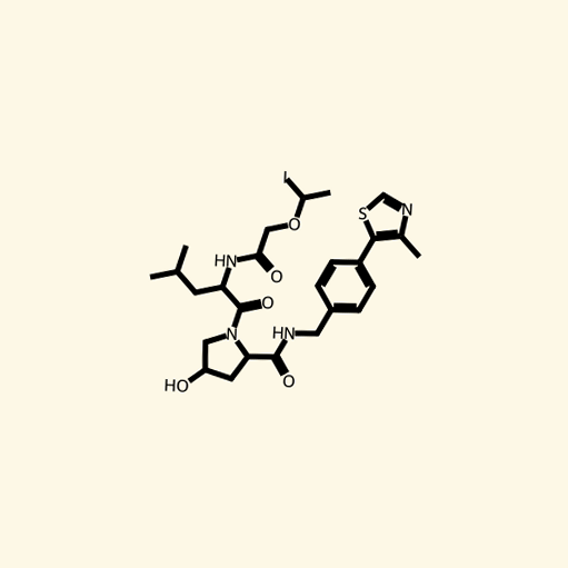 Cc1ncsc1-c1ccc(CNC(=O)C2CC(O)CN2C(=O)C(CC(C)C)NC(=O)COC(C)I)cc1